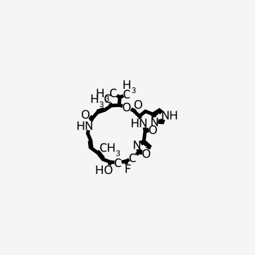 CC1=C\C(O)CC(F)Cc2nc(co2)C(=O)NC(Cc2c[nH]cn2)C(=O)OC(C(C)C)C(C)/C=C/C(=O)NC\C=C\1